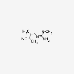 C=N/C(N)=N\CC(C)[C@H](C)C#N